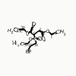 CCOC(=O)CC(C(=O)OCC)P(=O)(CCBr)OCC